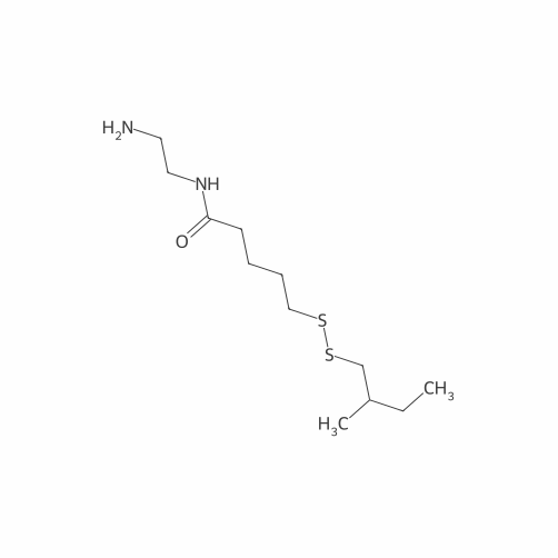 CCC(C)CSSCCCCC(=O)NCCN